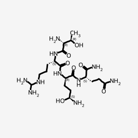 C[C@@H](O)[C@@H](N)C(=O)N[C@@H](CCCNC(N)N)C(=O)N[C@H](CC[C@@H](N)O)C(=O)N[C@@H](CCC(N)=O)C(N)=O